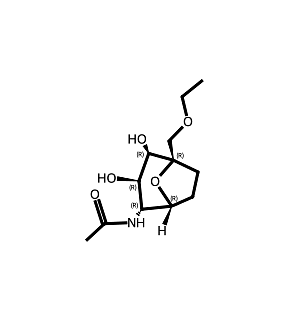 CCOC[C@@]12CC[C@@H](O1)[C@H](NC(C)=O)[C@@H](O)[C@H]2O